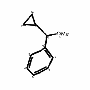 COC(c1[c]cccc1)C1CC1